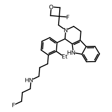 CCc1c(CCCNCCCF)cccc1C1c2[nH]c3ccccc3c2CCN1CC1(F)COC1